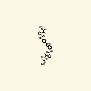 CC(C)C(NC(=O)O)C(=O)N1CCC[C@H]1C(=O)Nc1ccc(-c2cc3cc(NC(=O)[C@@H]4CCCN4C(=O)C(NC(=O)OC(C)(C)C)C(C)C)ccc3[nH]2)cc1